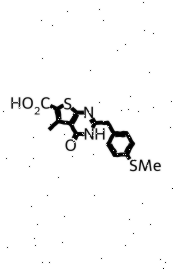 CSc1ccc(Cc2nc3sc(C(=O)O)c(C)c3c(=O)[nH]2)cc1